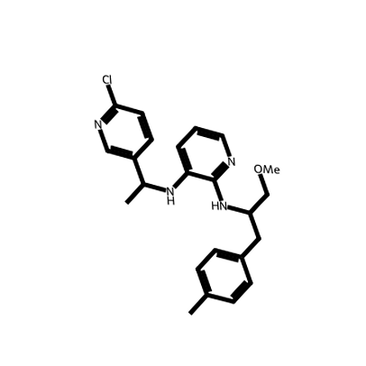 COCC(Cc1ccc(C)cc1)Nc1ncccc1NC(C)c1ccc(Cl)nc1